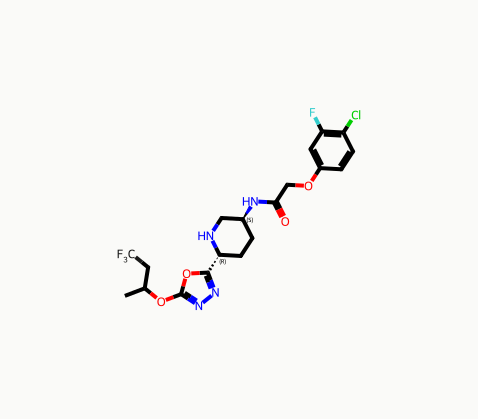 CC(CC(F)(F)F)Oc1nnc([C@H]2CC[C@H](NC(=O)COc3ccc(Cl)c(F)c3)CN2)o1